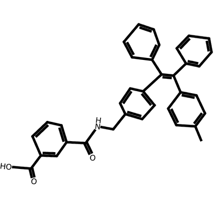 Cc1ccc(C(=C(c2ccccc2)c2ccc(CNC(=O)c3cccc(C(=O)O)c3)cc2)c2ccccc2)cc1